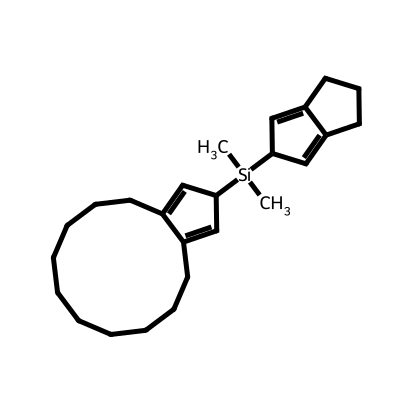 C[Si](C)(C1C=C2CCCCCCCCCCC2=C1)C1C=C2CCCC2=C1